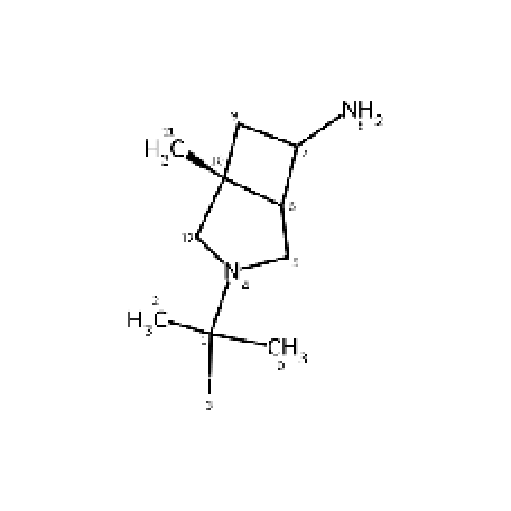 CC(C)(I)N1CC2C(N)C[C@@]2(C)C1